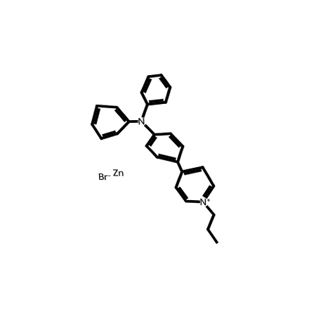 CCC[n+]1ccc(-c2ccc(N(c3ccccc3)c3ccccc3)cc2)cc1.[Br-].[Zn]